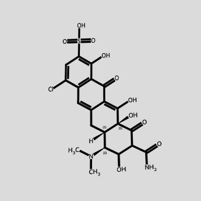 CN(C)[C@@H]1C(O)C(C(N)=O)C(=O)[C@@]2(O)C(O)=C3C(=O)c4c(O)c(S(=O)(=O)O)cc(Cl)c4C=C3C[C@@H]12